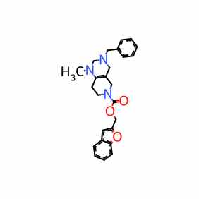 CN1CN(Cc2ccccc2)CC2=C1CCN(C(=O)OCc1cc3ccccc3o1)C2